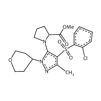 COC(=O)C1CCCN1c1c(S(=O)(=O)c2ccccc2Cl)c(C)nn1C1CCOCC1